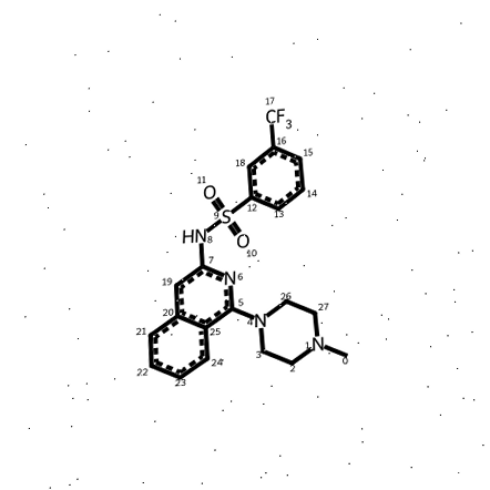 CN1CCN(c2nc(NS(=O)(=O)c3cccc(C(F)(F)F)c3)cc3ccccc23)CC1